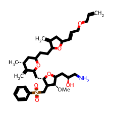 C=CCOC/C=C/C1CC(=C)C(CCC2C[C@@H](C)C(=C)C(C[C@@H]3OC(C[C@H](O)CN)[C@H](OC)C3CS(=O)(=O)c3ccccc3)O2)O1